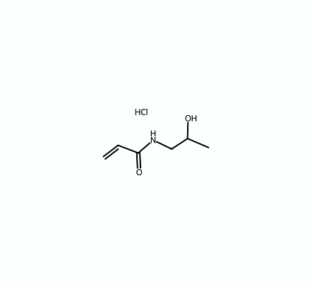 C=CC(=O)NCC(C)O.Cl